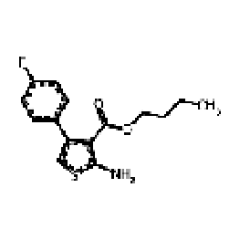 CCCCOC(=O)c1c(-c2ccc(F)cc2)csc1N